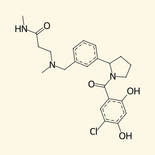 CNC(=O)CCN(C)Cc1cccc(C2CCCN2C(=O)c2cc(Cl)c(O)cc2O)c1